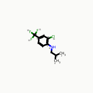 CC(C)[CH]Nc1ccc(C(F)(F)F)cc1Cl